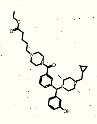 CCOC(=O)CCCCN1CCN(C(=O)c2cccc(C(c3cccc(O)c3)N3C[C@@H](C)N(CC4CC4)C[C@H]3C)c2)CC1